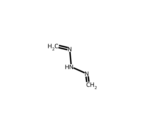 C=NNN=C